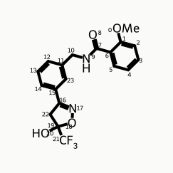 COc1ccccc1C(=O)NCc1cccc(C2=NOC(O)(C(F)(F)F)C2)c1